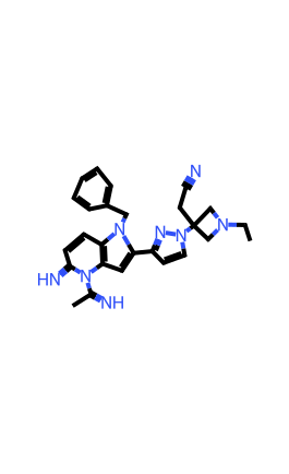 CCN1CC(CC#N)(n2ccc(-c3cc4c(ccc(=N)n4C(C)=N)n3Cc3ccccc3)n2)C1